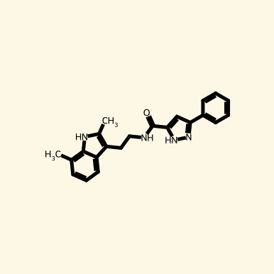 Cc1[nH]c2c(C)cccc2c1CCNC(=O)c1cc(-c2ccccc2)n[nH]1